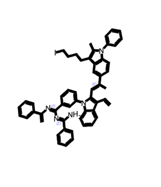 C=Cc1c(/C=C(\C)c2ccc3c(c2)c(CCCCI)c(C)n3-c2ccccc2)n(-c2cccc(C(/N=C(\N)c3ccccc3)=N/C(=C)c3ccccc3)c2)c2ccccc12